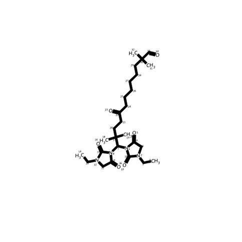 CCN1CC(=O)N(C(N2C(=O)CN(CC)C2=O)C(C)(C)CCC(=O)CCCCCCC(C)(C)C=O)C1=O